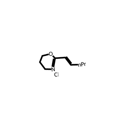 CCCC=CC1=NCCCO1.[C]